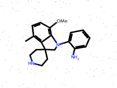 COc1ccc(C)c2c1N(c1ccccc1N)CC21CCNCC1